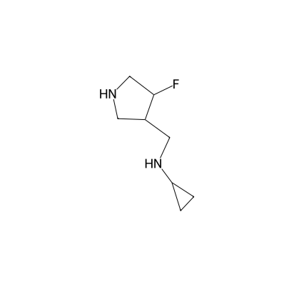 FC1CNCC1CNC1CC1